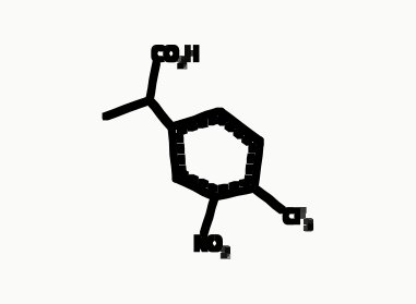 CC(C(=O)O)c1ccc(C(F)(F)F)c([N+](=O)[O-])c1